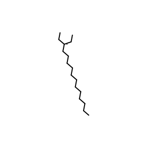 CCCCCCCCCCCC[C](CC)CC